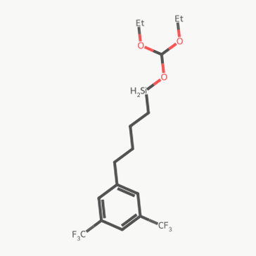 CCOC(OCC)O[SiH2]CCCCc1cc(C(F)(F)F)cc(C(F)(F)F)c1